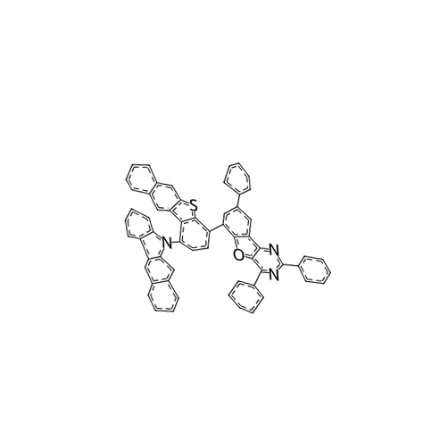 c1ccc(-c2cc(-c3ccc(-n4c5ccccc5c5cc6ccccc6cc54)c4c3sc3cc5ccccc5cc34)c3oc4c(-c5ccccc5)nc(-c5ccccc5)nc4c3c2)cc1